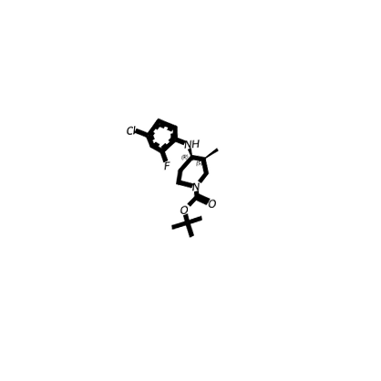 C[C@H]1CN(C(=O)OC(C)(C)C)CC[C@H]1Nc1ccc(Cl)cc1F